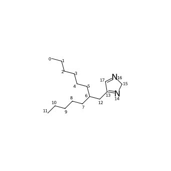 CCCCCCC(CCCCC)CC1=NCN=C1